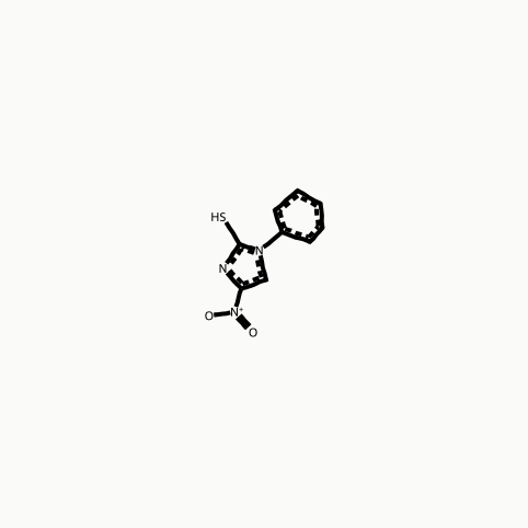 O=[N+]([O-])c1cn(-c2ccccc2)c(S)n1